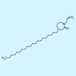 C=CCN1CCCC(CCCCCCCCCCCCCCCCCCCC)CC1=O